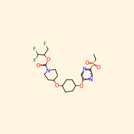 CCS(=O)(=O)c1cnc(OC2CCC(OC3CCN(C(=O)OC(CF)C(F)F)CC3)CC2)cn1